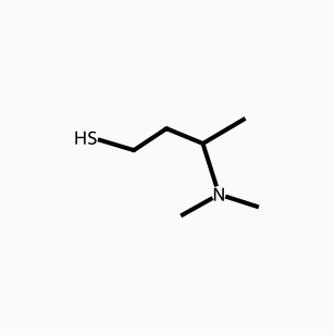 CC(CCS)N(C)C